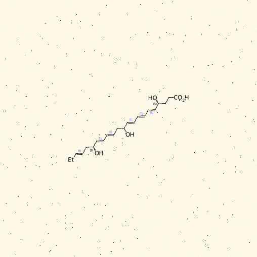 CC/C=C/C[C@H](O)/C=C/C=C/CC(O)/C=C/C=C/C=C/[C@@H](O)CCC(=O)O